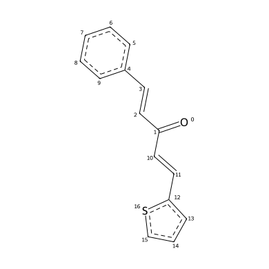 O=C(/C=C/c1ccccc1)/C=C/c1cccs1